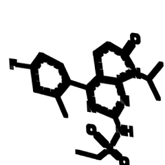 CCS(=O)(=O)Nc1nc(-c2ccc(F)cc2C)c2ccc(=O)n(C(C)C)c2n1